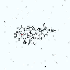 CC(C)Oc1ccc(C(=N)c2c(N)ncnc2NC(C)/C(=N/c2ccccc2C=O)N(C)c2ccccc2)cc1F